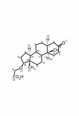 C[C@]12CCC(=O)C[C@@H]1CCC1[C@@H]2CC[C@]2(C)[C@@H](OCC(=O)O)CC[C@@H]12